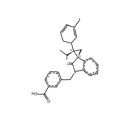 CC(C)[C@@]1(C2C=C(F)C=CC2)C[C@@]12C(=O)N(Cc1cccc(C(=O)O)c1)c1ccccc12